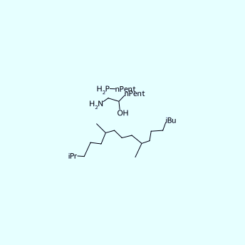 CCC(C)CCCC(C)CCCC(C)CCCC(C)C.CCCCCC(O)CN.CCCCCP